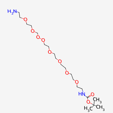 CC(C)(C)OC(=O)NCCOCCOCCOCCOCCOOCOCCOCCN